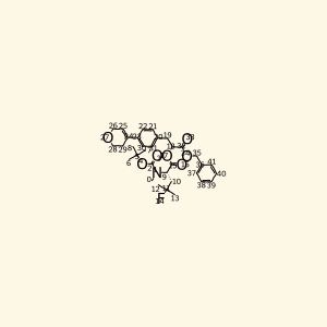 CN(C(=O)OC(C)(C)C)[C@@H](CC(C)(C)F)C(=O)OC(Cc1ccc(C2=CCOCC2)cc1)C(=O)OCc1ccccc1